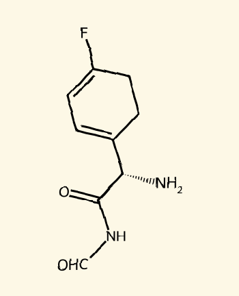 N[C@H](C(=O)NC=O)C1=CC=C(F)CC1